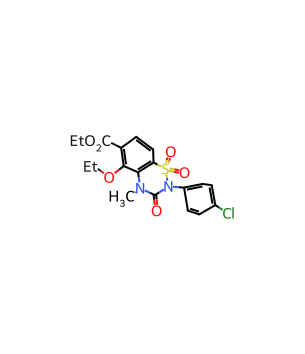 CCOC(=O)c1ccc2c(c1OCC)N(C)C(=O)N(c1ccc(Cl)cc1)S2(=O)=O